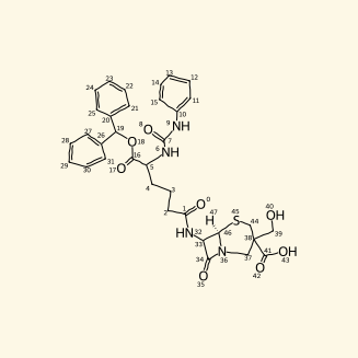 O=C(CCCC(NC(=O)Nc1ccccc1)C(=O)OC(c1ccccc1)c1ccccc1)NC1C(=O)N2CC(CO)(C(=O)O)CS[C@H]12